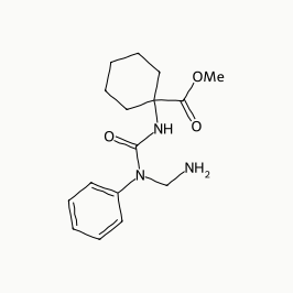 COC(=O)C1(NC(=O)N(CN)c2ccccc2)CCCCC1